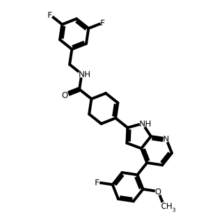 COc1ccc(F)cc1-c1ccnc2[nH]c(C3=CCC(C(=O)NCc4cc(F)cc(F)c4)CC3)cc12